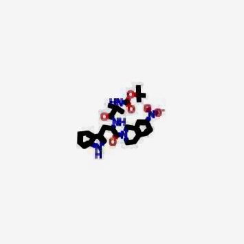 CC(C)(C)OC(=O)NC(C)(C)C(=O)NC(Cc1c[nH]c2ccccc12)C(=O)N1CCc2ccc([N+](=O)[O-])cc2C1